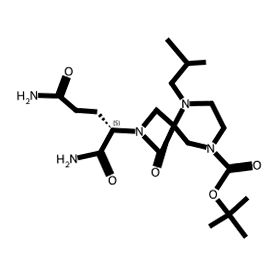 CC(C)CN1CCN(C(=O)OC(C)(C)C)CC12CN([C@@H](CCC(N)=O)C(N)=O)C2=O